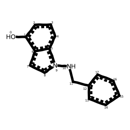 Oc1cccc2c1ccn2NCc1ccccc1